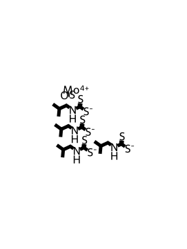 CC(C)CNC(=S)[S-].CC(C)CNC(=S)[S-].CC(C)CNC(=S)[S-].CC(C)CNC(=S)[S-].O=S.[Mo+4]